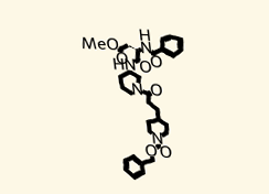 COC(=O)C[C@H](NC(=O)c1ccccc1)C(=O)NC1CCCN(C(=O)CCC2CCN(C(=O)OCc3ccccc3)CC2)C1